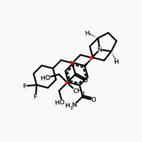 CC(CO)(CO)C(=O)N(CCN1[C@@H]2CC[C@H]1C[C@@H](c1cccc(C(N)=O)c1)C2)CC1CCC(F)(F)CC1